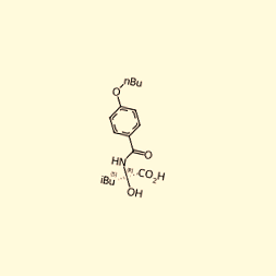 CCCCOc1ccc(C(=O)N[C@](O)(C(=O)O)[C@@H](C)CC)cc1